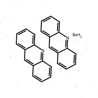 [BeH2].c1ccc2nc3ccccc3cc2c1.c1ccc2nc3ccccc3cc2c1